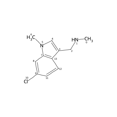 CNCc1cn(C)c2cc(Cl)ccc12